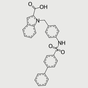 O=C(O)c1cc2ccccc2n1Cc1ccc(NS(=O)(=O)c2ccc(-c3ccccc3)cc2)cc1